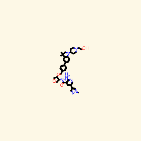 Cn1cc(-c2cnc(N)c(C(=O)N[C@H]3COC[C@@H]3OCc3ccc(-c4ccc5c(c4)C(C)(C)CN5C4CCN(CCO)CC4)cc3)c2)cn1